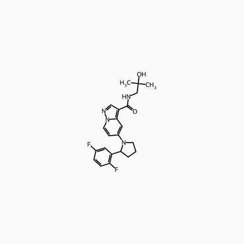 CC(C)(O)CNC(=O)c1cnn2ccc(N3CCCC3c3cc(F)ccc3F)cc12